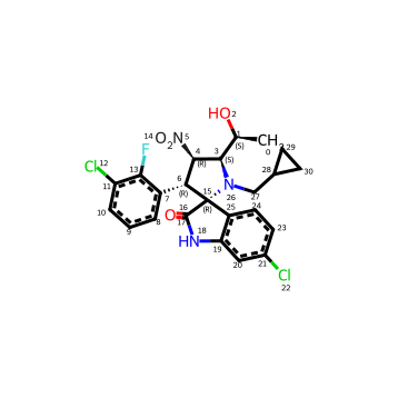 C[C@H](O)[C@@H]1[C@H]([N+](=O)[O-])[C@@H](c2cccc(Cl)c2F)[C@@]2(C(=O)Nc3cc(Cl)ccc32)N1CC1CC1